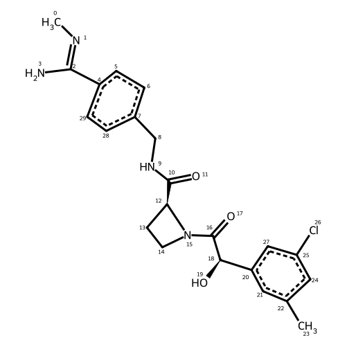 C/N=C(\N)c1ccc(CNC(=O)[C@@H]2CCN2C(=O)[C@H](O)c2cc(C)cc(Cl)c2)cc1